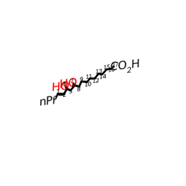 CCCC=CC(O)CC(O)CCCCCCCCCC(=O)O